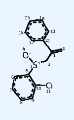 C=C(C[S+]([O-])c1ccccc1Cl)c1ccccc1